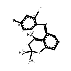 CC1=c2c(ccc/c2=C/c2ccc(F)cc2F)OC(C)(C)C1